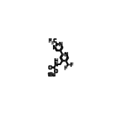 CC(C)(C)OC(=O)NCc1cc(-c2cnc(C(F)(F)F)nc2)ncc1C(F)F